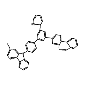 Fc1cnc2c3ccccc3n(-c3ccc(-c4cc(-c5ccc6c(ccc7ccccc76)c5)nc(C5C=CC=CN5)c4)cc3)c2c1